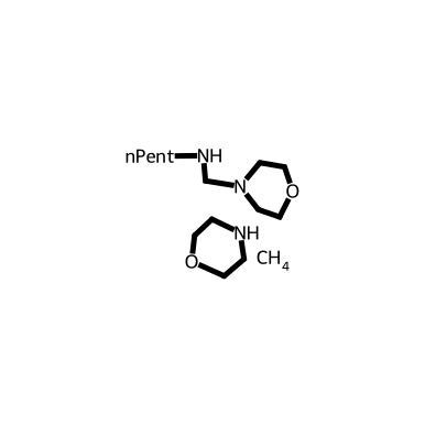 C.C1COCCN1.CCCCCNCN1CCOCC1